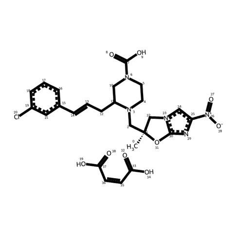 C[C@]1(CN2CCN(C(=O)O)CC2CC=Cc2cccc(Cl)c2)Cn2cc([N+](=O)[O-])nc2O1.O=C(O)/C=C\C(=O)O